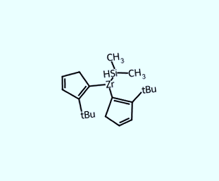 C[SiH](C)[Zr]([C]1=C(C(C)(C)C)C=CC1)[C]1=C(C(C)(C)C)C=CC1